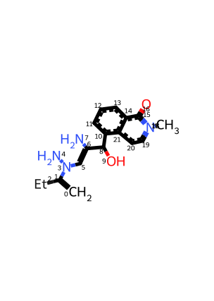 C=C(CC)N(N)/C=C(\N)C(O)c1cccc2c(=O)n(C)ccc12